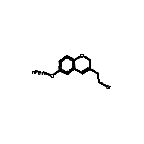 CCCCCOc1ccc2c(c1)C=C(CCBr)CO2